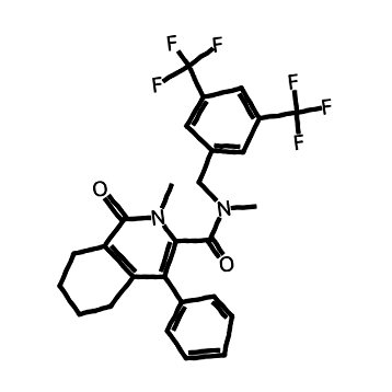 CN(Cc1cc(C(F)(F)F)cc(C(F)(F)F)c1)C(=O)c1c(-c2ccccc2)c2c(c(=O)n1C)CCCC2